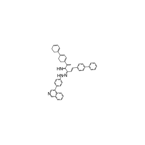 C=C(C(=N)C(/C=C/c1ccc(-c2ccccc2)cc1)=N\Nc1ccc(-c2cncc3ccccc23)cc1)C1=CC=C(C2=CC=CCC2)CC1